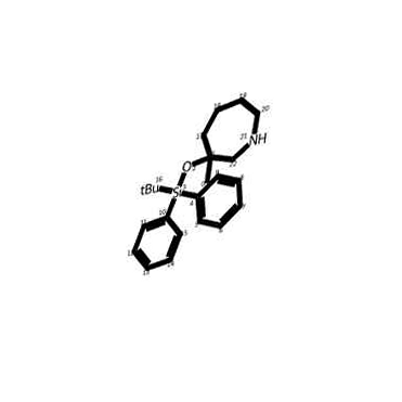 CC1(O[Si](c2ccccc2)(c2ccccc2)C(C)(C)C)CCCCNC1